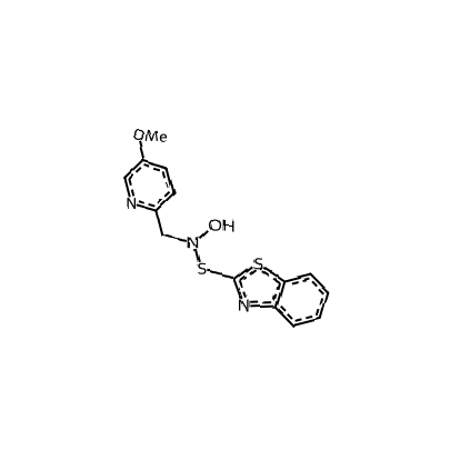 COc1ccc(CN(O)Sc2nc3ccccc3s2)nc1